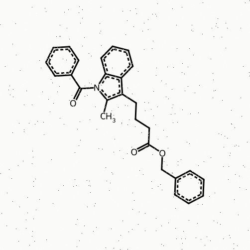 Cc1c(CCCC(=O)OCc2ccccc2)c2ccccc2n1C(=O)c1ccccc1